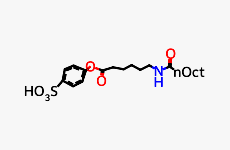 CCCCCCCCC(=O)NCCCCCC(=O)Oc1ccc(S(=O)(=O)O)cc1